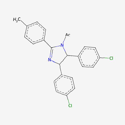 CC(=O)N1C(c2ccc(C)cc2)=NC(c2ccc(Cl)cc2)C1c1ccc(Cl)cc1